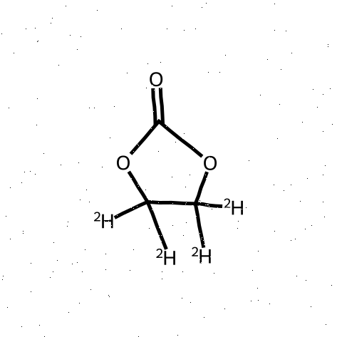 [2H]C1([2H])OC(=O)OC1([2H])[2H]